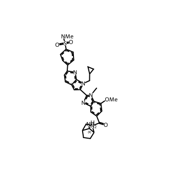 CNS(=O)(=O)c1ccc(-c2ccc3cc(-c4nc5cc(C(=O)N6CC7CCC6[C@@H]7N)cc(OC)c5n4C)n(CC4CC4)c3n2)cc1